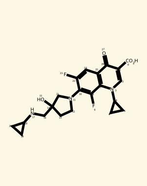 O=C(O)c1cn(C2CC2)c2c(F)c(N3CCC(O)(CNC4CC4)C3)c(F)cc2c1=O